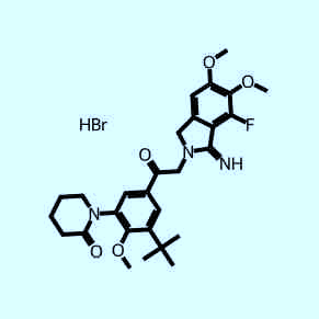 Br.COc1cc2c(c(F)c1OC)C(=N)N(CC(=O)c1cc(N3CCCCC3=O)c(OC)c(C(C)(C)C)c1)C2